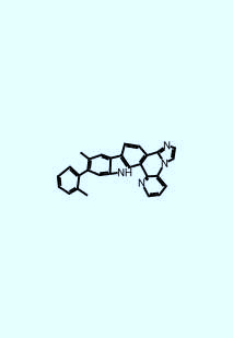 Cc1ccccc1-c1cc2[nH]c3c(ccc4c3c3ncccc3n3ccnc43)c2cc1C